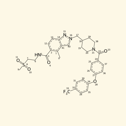 Cc1c(C(=O)NCCS(C)(=O)=O)ccc2nn(CC3CCN(C(=O)c4ccc(Oc5ccc(C(F)(F)F)cc5)cc4)CC3)cc12